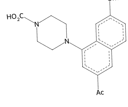 COc1ccc2cc(C(C)=O)cc(N3CCN(C(=O)O)CC3)c2c1